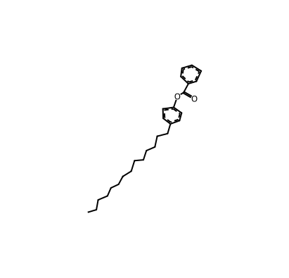 CCCCCCCCCCCCCCc1ccc(OC(=O)c2ccccc2)cc1